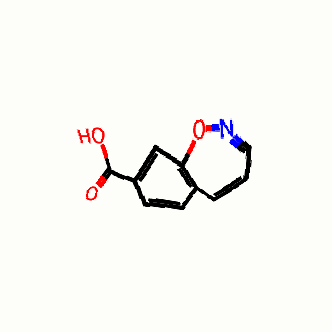 O=C(O)c1ccc2c(c1)ON=CC=C2